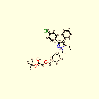 CCc1c(-c2ccccc2)c(-c2ccc(Cl)cc2)nn1C[C@H]1CC[C@H](COCC(=O)OC(C)(C)C)CC1